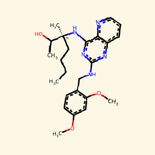 CCCC[C@](C)(Nc1nc(NCc2ccc(OC)cc2OC)nc2cccnc12)C(C)O